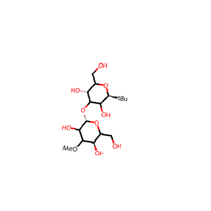 COC1C(O)[C@H](OC2C(O)[C@H](C(C)(C)C)OC(CO)[C@H]2O)OC(CO)[C@H]1O